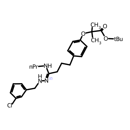 CCCN/C(CCCc1ccc(OC(C)(C)C(=O)OC(C)(C)C)cc1)=N\NCc1cccc(Cl)c1